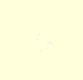 CC(C)c1nn(Cc2ccc(Br)cc2F)c(=O)c(C(=O)NCC(=O)O)c1O